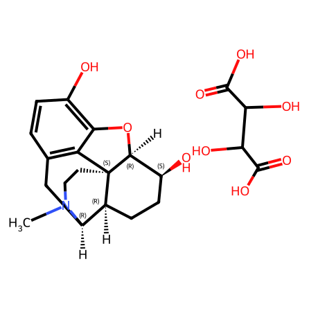 CN1CC[C@]23c4c5ccc(O)c4O[C@H]2[C@@H](O)CC[C@H]3[C@H]1C5.O=C(O)C(O)C(O)C(=O)O